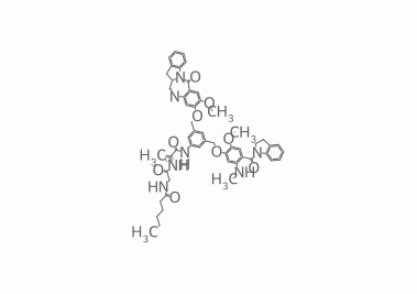 CCCCCC(=O)NCC(=O)N[C@@H](C)C(=O)Nc1cc(COc2cc3c(cc2OC)C(=O)N2c4ccccc4CC2C=N3)cc(COc2cc(NC)c(C(=O)N3CCc4ccccc43)cc2OC)c1